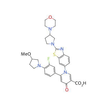 COC1CCN(c2ccc(-c3cc(=O)c(C(=O)O)cn3-c3ccc4nc(N5CCC(N6CCOCC6)C5)sc4c3)cc2F)C1